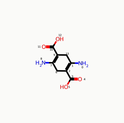 NC1=C(C(=O)O)CC(N)=C(C(=O)O)C1